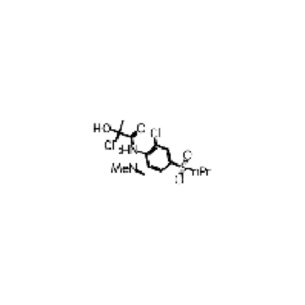 CCCS(=O)(=O)c1ccc(NC(=O)C(C)(O)C(F)(F)F)c(Cl)c1.CNC